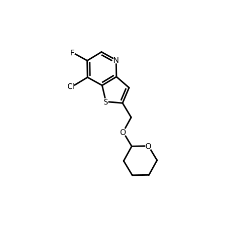 Fc1cnc2cc(COC3CCCCO3)sc2c1Cl